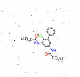 CCOC(=O)C(=O)Nc1cc(NC(=O)C(=O)OCC)c(Cl)c(-c2ccccc2)c1